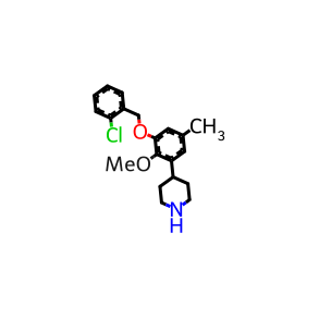 COc1c(OCc2ccccc2Cl)cc(C)cc1C1CCNCC1